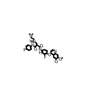 COc1cc2nccc(Oc3ccc(NC(=O)/C(=C/NCCN(C)C)C(=O)Nc4ccc(F)cc4)cc3F)c2cc1OC